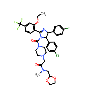 CCOc1cc(C(F)(F)F)ccc1C1=NC(c2ccc(Cl)cc2)C(c2ccc(Cl)cc2)N1C(=O)N1CCN(CC(=O)N(C)CC2OCCO2)CC1